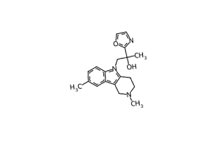 Cc1ccc2c(c1)c1c(n2CC(C)(O)c2ncco2)CCN(C)C1